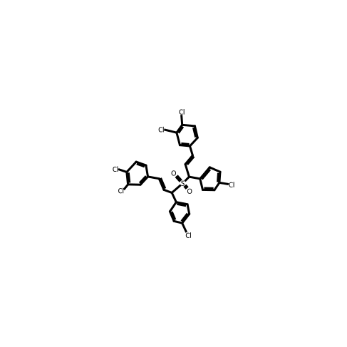 O=S(=O)(C(C=Cc1ccc(Cl)c(Cl)c1)c1ccc(Cl)cc1)C(C=Cc1ccc(Cl)c(Cl)c1)c1ccc(Cl)cc1